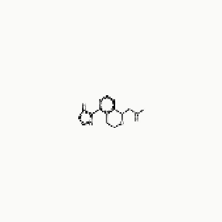 CNC[C@H]1OCCc2c(-c3ncc[nH]3)cccc21